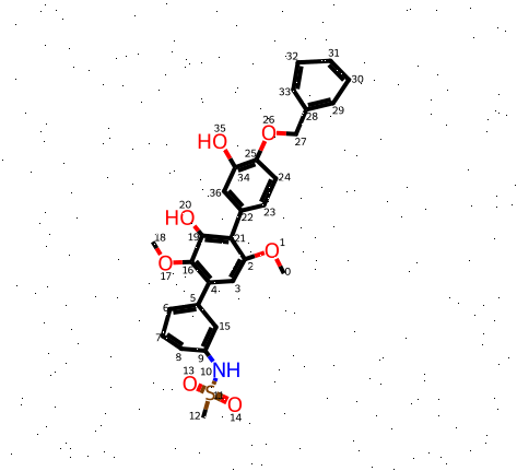 COc1cc(-c2cccc(NS(C)(=O)=O)c2)c(OC)c(O)c1-c1ccc(OCc2ccccc2)c(O)c1